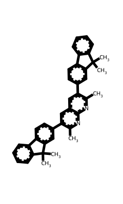 Cc1nc2nc(C)c(-c3ccc4c(c3)C(C)(C)c3ccccc3-4)cc2cc1-c1ccc2c(c1)C(C)(C)c1ccccc1-2